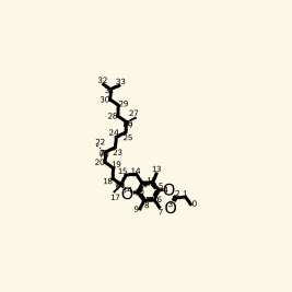 CCC(=O)Oc1c(C)c(C)c2c(c1C)CC[C@@](C)(CCC[C@H](C)CCC[C@H](C)CCCC(C)C)O2